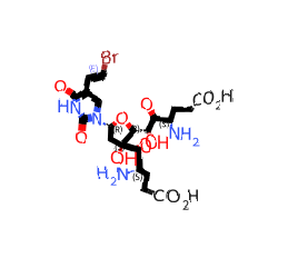 N[C@@H](CCC(=O)O)C(=O)C(O)[C@H]1O[C@@H](n2cc(/C=C/Br)c(=O)[nH]c2=O)C[C@@]1(O)C(=O)[C@@H](N)CCC(=O)O